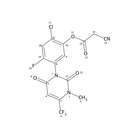 Cn1c(C(F)(F)F)cc(=O)n(-c2cc(OC(=O)CC#N)c(Cl)cc2F)c1=O